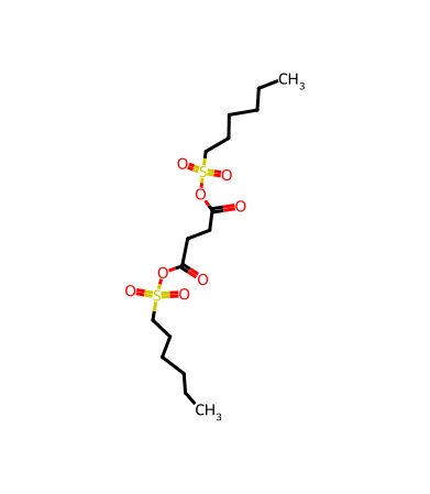 CCCCCCS(=O)(=O)OC(=O)CCC(=O)OS(=O)(=O)CCCCCC